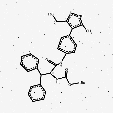 Cc1[nH]nc(CO)c1-c1ccc(NC(=O)[C@@H](NC(=O)OC(C)(C)C)C(c2ccccc2)c2ccccc2)cc1